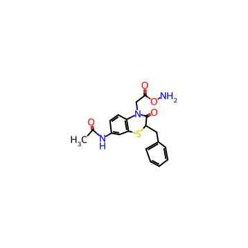 CC(=O)Nc1ccc2c(c1)SC(Cc1ccccc1)C(=O)N2CC(=O)ON